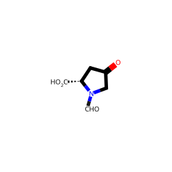 O=CN1CC(=O)C[C@H]1C(=O)O